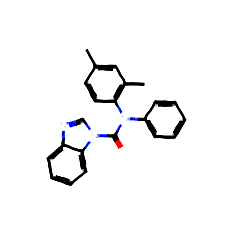 Cc1ccc(N(C(=O)n2cnc3ccccc32)c2ccccc2)c(C)c1